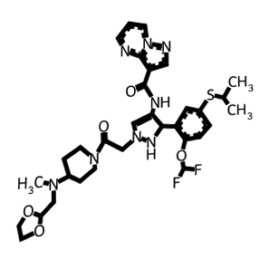 CC(C)Sc1ccc(OC(F)F)c(C2NN(CC(=O)N3CCC(N(C)CC4OCCO4)CC3)C=C2NC(=O)c2cnn3cccnc23)c1